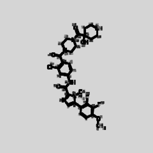 COc1ccc(-c2cnc(C(=O)Nc3ccc(C(=O)N4CCN(C(=O)C5(O)CCNCC5)CC4)c(Cl)c3)n2C)c(F)c1F